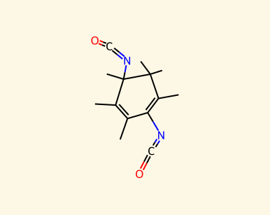 CC1=C(C)C(C)(N=C=O)C(C)(C)C(C)=C1N=C=O